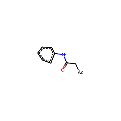 CC(=O)CC(=O)[N]c1ccccc1